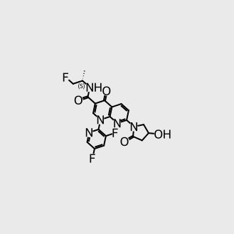 C[C@@H](CF)NC(=O)c1cn(-c2ncc(F)cc2F)c2nc(N3CC(O)CC3=O)ccc2c1=O